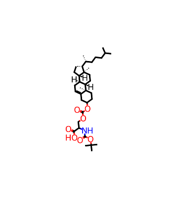 CC(C)CCC[C@@H](C)[C@H]1CC[C@H]2[C@@H]3CC=C4CC(OC(=O)OCC(NC(=O)OC(C)(C)C)C(=O)O)CC[C@]4(C)[C@H]3CC[C@]12C